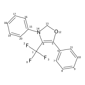 FC(F)(F)C1=C(c2ccccc2)OCN1c1ccccc1